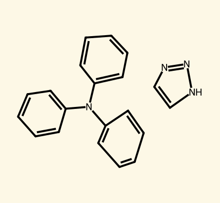 c1c[nH]nn1.c1ccc(N(c2ccccc2)c2ccccc2)cc1